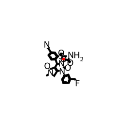 CN1CC2=C(C1=O)C(c1ccc(C#N)cc1S(C)(=O)=O)N(CC(N)=O)C(=O)N2c1cccc(CF)c1